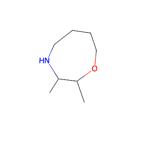 CC1NCCCCOC1C